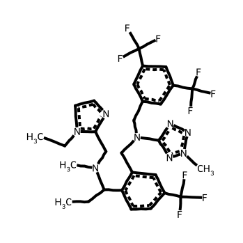 CCC(c1ccc(C(F)(F)F)cc1CN(Cc1cc(C(F)(F)F)cc(C(F)(F)F)c1)c1nnn(C)n1)N(C)Cc1nccn1CC